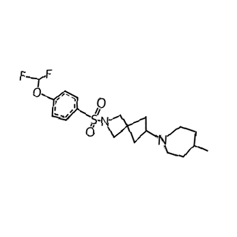 CC1CCN(C2CC3(C2)CN(S(=O)(=O)c2ccc(OC(F)F)cc2)C3)CC1